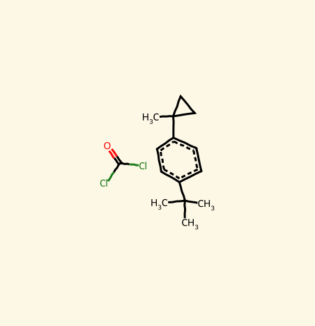 CC(C)(C)c1ccc(C2(C)CC2)cc1.O=C(Cl)Cl